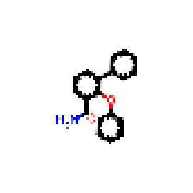 NC(=O)c1cccc(-c2ccccc2)c1Oc1ccccc1